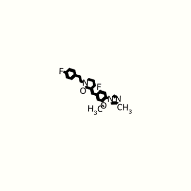 COc1cc(/C=C2\CCCN(CCc3ccc(F)cc3)C2=O)c(F)cc1-n1cnc(C)c1